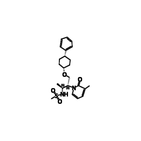 Cc1cccn([C@@H](CO[C@H]2CC[C@@H](c3ccccc3)CC2)[C@H](C)NS(C)(=O)=O)c1=O